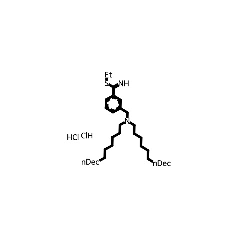 CCCCCCCCCCCCCCCCN(CCCCCCCCCCCCCCCC)Cc1cccc(C(=N)SCC)c1.Cl.Cl